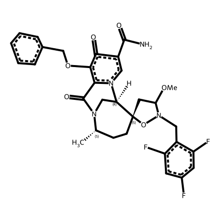 COC1C[C@]2(CC[C@H](C)N3C[C@H]2n2cc(C(N)=O)c(=O)c(OCc4ccccc4)c2C3=O)ON1Cc1c(F)cc(F)cc1F